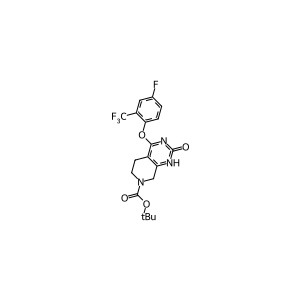 CC(C)(C)OC(=O)N1CCc2c(Oc3ccc(F)cc3C(F)(F)F)nc(=O)[nH]c2C1